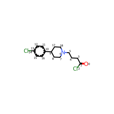 O=C(Cl)CCCN1CCC(c2ccc(Cl)cc2)CC1